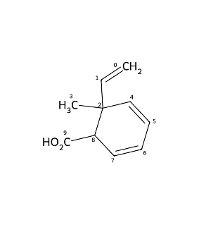 C=CC1(C)C=CC=CC1C(=O)O